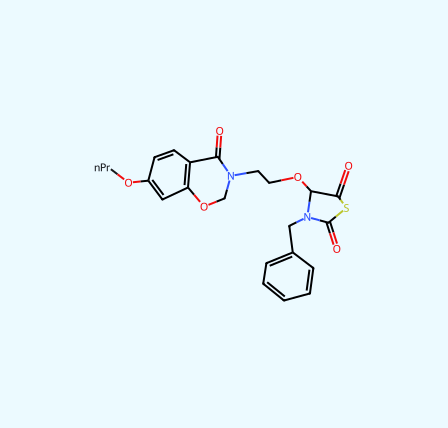 CCCOc1ccc2c(c1)OCN(CCOC1C(=O)SC(=O)N1Cc1ccccc1)C2=O